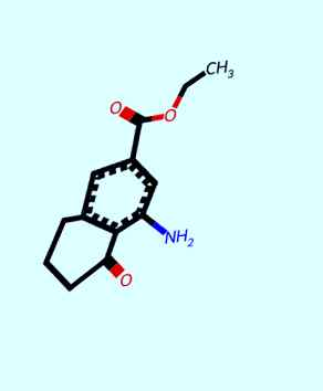 CCOC(=O)c1cc(N)c2c(c1)CCCC2=O